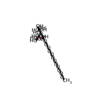 CCCOCCOCCOCCOCCOCCOCCOCCOCCOCCOCCOCCOCCC(=O)NCCN(C[C@H](O)[C@@H](O)[C@H](O)[C@H](O)CO)C[C@H](O)[C@@H](O)[C@H](O)[C@H](O)CO